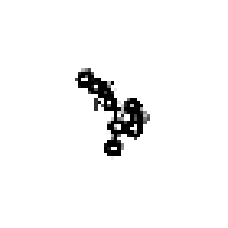 c1ccc(-c2ccc(N(c3cnc4c(c3)oc3cc5ccccc5cc34)c3cccc4oc5ccccc5c34)cc2)cc1